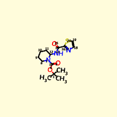 CC(C)(C)OC(=O)N1CCCCC1NC(=O)c1nccs1